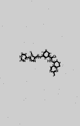 Cc1ncc2c(n1)CCCC2NC(=O)c1cccc(NCc2nnc(-c3ccncn3)n2C)c1